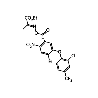 CCOC(=O)C(C)=NO[PH](=O)c1cc(Oc2ccc(C(F)(F)F)cc2Cl)c(CC)cc1[N+](=O)[O-]